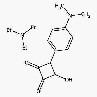 CCN(CC)CC.CN(C)c1ccc(C2C(=O)C(=O)C2O)cc1